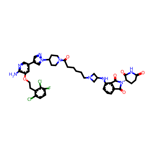 Nc1ncc(-c2cnn(C3CCN(C(=O)CCCCCN4CC(Nc5cccc6c5C(=O)N([C@H]5CCC(=O)NC5=O)C6=O)C4)CC3)c2)cc1OCCc1c(Cl)ccc(F)c1Cl